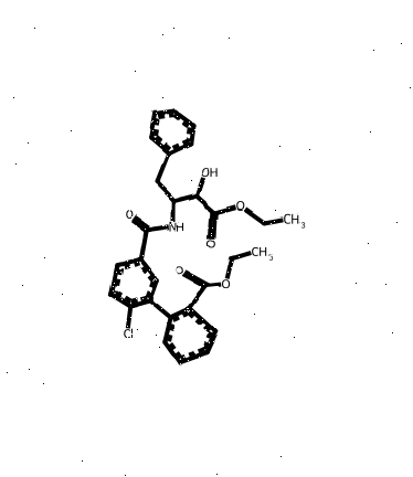 CCOC(=O)c1ccccc1-c1cc(C(=O)NC(Cc2ccccc2)C(O)C(=O)OCC)ccc1Cl